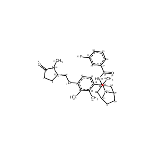 Cc1c(OC[C@H]2CCC(=O)N2C)ccc(C(C)N2C3CCC2CC(NC(=O)c2cccc(F)c2)C3)c1C